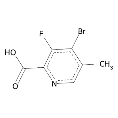 Cc1cnc(C(=O)O)c(F)c1Br